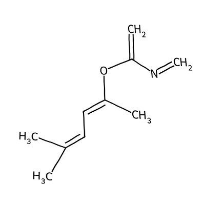 C=NC(=C)O/C(C)=C/C=C(C)C